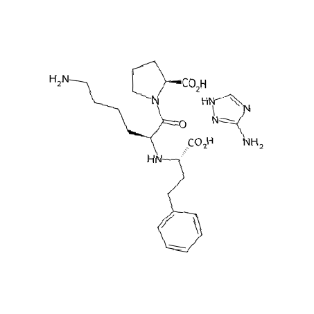 NCCCC[C@H](N[C@@H](CCc1ccccc1)C(=O)O)C(=O)N1CCC[C@H]1C(=O)O.Nc1nc[nH]n1